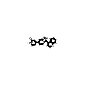 O=c1cc(-c2ccn3c(-c4ccnc5ccccc45)nnc3c2)cc[nH]1